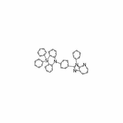 c1ccc(-n2c(-c3ccc(N4c5ccccc5[Si](c5ccccc5)(c5ccccc5)c5ccccc54)cc3)nc3cccnc32)cc1